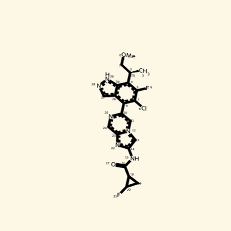 COC[C@@H](C)c1c(F)c(Cl)c(-c2cn3cc(NC(=O)C4CC4F)nc3cn2)c2cn[nH]c12